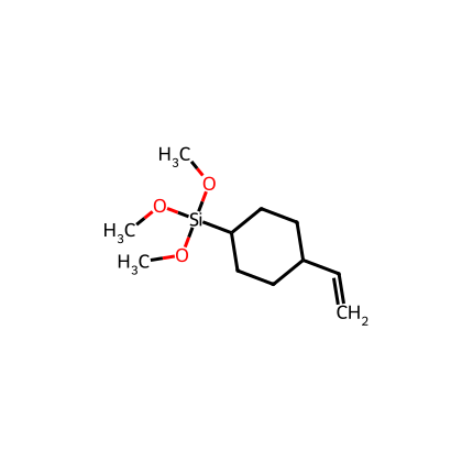 C=CC1CCC([Si](OC)(OC)OC)CC1